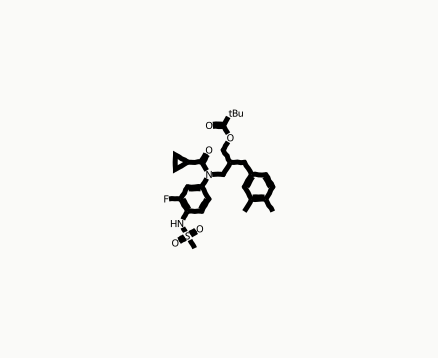 Cc1ccc(CC(COC(=O)C(C)(C)C)CN(C(=O)C2CC2)c2ccc(NS(C)(=O)=O)c(F)c2)cc1C